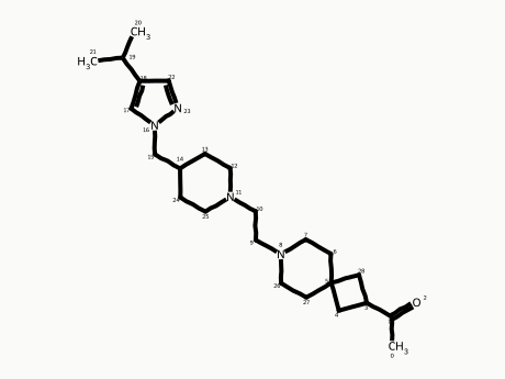 CC(=O)C1CC2(CCN(CCN3CCC(Cn4cc(C(C)C)cn4)CC3)CC2)C1